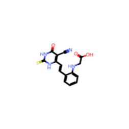 N#Cc1c(C=Cc2ccccc2NCC(=O)O)[nH]c(=S)[nH]c1=O